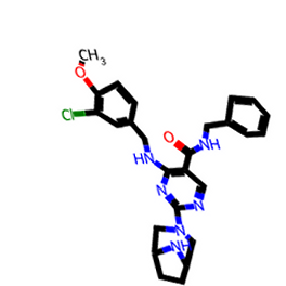 COc1ccc(CNc2nc(N3CC4CCC(C3)N4)ncc2C(=O)NCc2ccccc2)cc1Cl